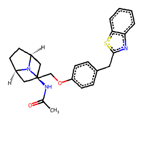 CC(=O)N[C@H]1C[C@H]2CC[C@@H](C1)N2CCOc1ccc(Cc2nc3ccccc3s2)cc1